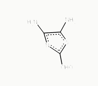 Nc1nc(C=O)sc1N